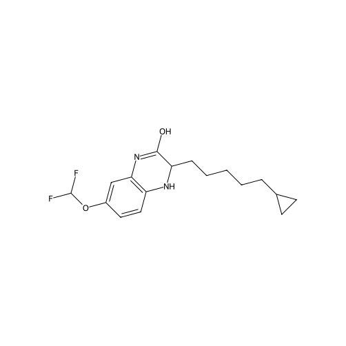 OC1=Nc2cc(OC(F)F)ccc2NC1CCCCCC1CC1